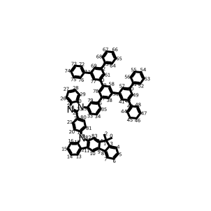 CC1(C)c2ccccc2-c2cc3c4ccccc4n(-c4ccc(-c5nc6ccccc6n5-c5cccc(-c6cc(-c7cc(C8=CCCC=C8)cc(-c8ccccc8)c7)cc(-c7cc(-c8ccccc8)cc(-c8ccccc8)c7)c6)c5)cc4)c3cc21